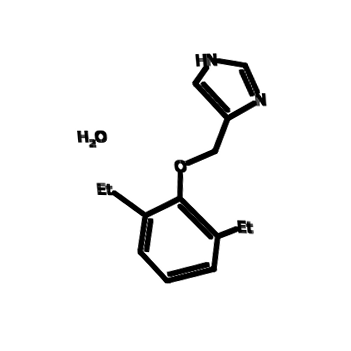 CCc1cccc(CC)c1OCc1c[nH]cn1.O